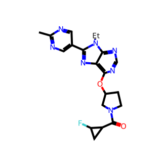 CCn1c(-c2cnc(C)nc2)nc2c(OC3CCN(C(=O)C4CC4F)C3)ncnc21